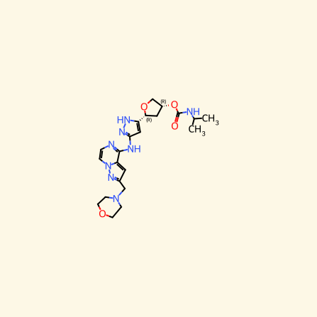 CC(C)NC(=O)O[C@H]1CO[C@@H](c2cc(Nc3nccn4nc(CN5CCOCC5)cc34)n[nH]2)C1